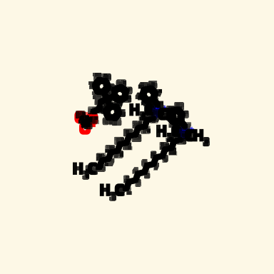 CCCCCCCCCCCCCC[N+](C)(C)Cc1ccccc1.CCCCCCCCCCCCCC[N+](C)(C)Cc1ccccc1.[O-]B([O-])OCCCC(c1ccccc1)(c1ccccc1)c1ccccc1